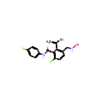 C=C(C)c1c(CNO)ccc(F)c1C(=O)Nc1ccc(F)cc1